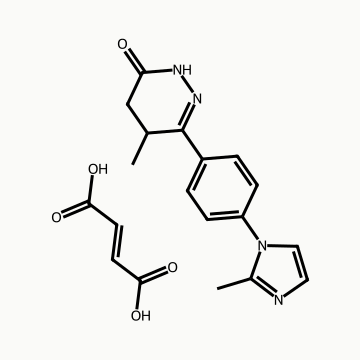 Cc1nccn1-c1ccc(C2=NNC(=O)CC2C)cc1.O=C(O)/C=C/C(=O)O